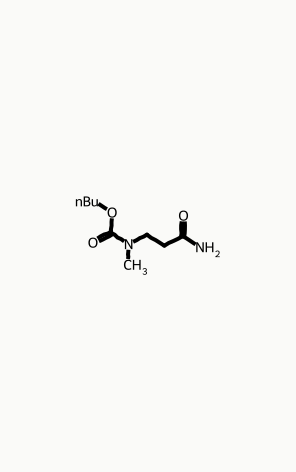 CCCCOC(=O)N(C)CCC(N)=O